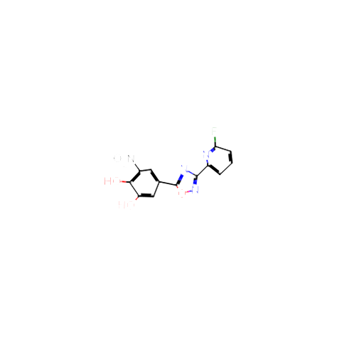 O=[N+]([O-])c1cc(-c2nc(-c3cccc(F)n3)no2)cc(O)c1O